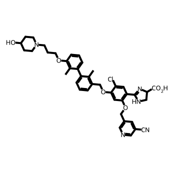 Cc1c(COc2cc(OCc3cncc(C#N)c3)c(C3=NC(C(=O)O)CN3)cc2Cl)cccc1-c1cccc(OCCCN2CCC(O)CC2)c1C